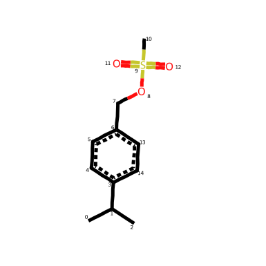 CC(C)c1ccc(COS(C)(=O)=O)cc1